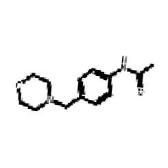 CC(=O)Nc1ccc(CN2CCOCC2)cc1